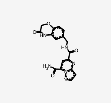 NC(=O)c1cc(C(=O)NCc2ccc3c(c2)NC(=O)CO3)nc2ccnn12